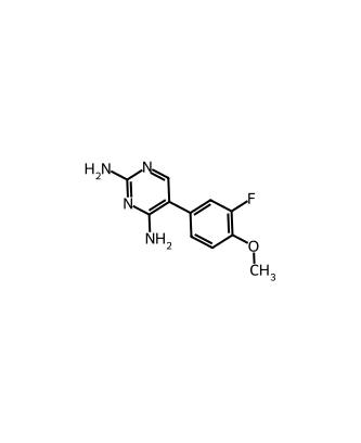 COc1ccc(-c2cnc(N)nc2N)cc1F